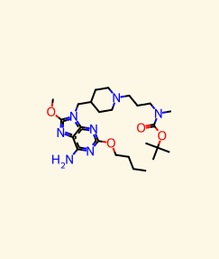 CCCCOc1nc(N)c2nc(OC)n(CC3CCN(CCCN(C)C(=O)OC(C)(C)C)CC3)c2n1